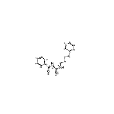 N=C(NCCCOc1ccccc1)NC(=O)c1ccccc1